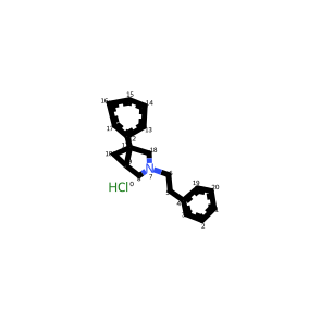 Cl.c1ccc(CCN2CC3CC3(c3ccccc3)C2)cc1